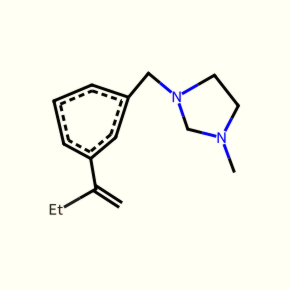 C=C(CC)c1cccc(CN2CCN(C)C2)c1